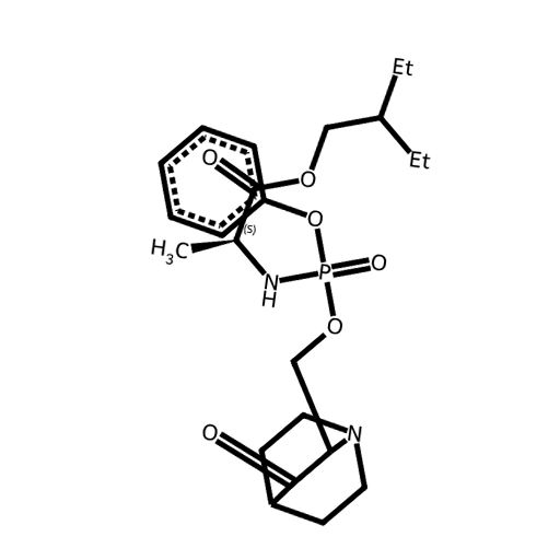 CCC(CC)COC(=O)[C@H](C)NP(=O)(OCC1C(=O)C2CCN1CC2)Oc1ccccc1